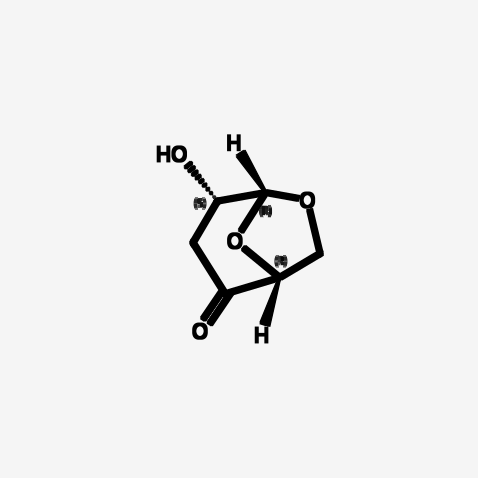 O=C1C[C@H](O)[C@@H]2OC[C@H]1O2